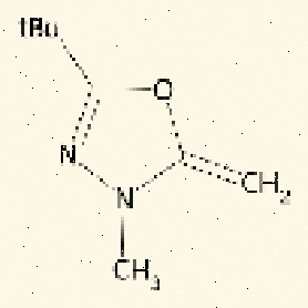 C=C1OC(C(C)(C)C)=NN1C